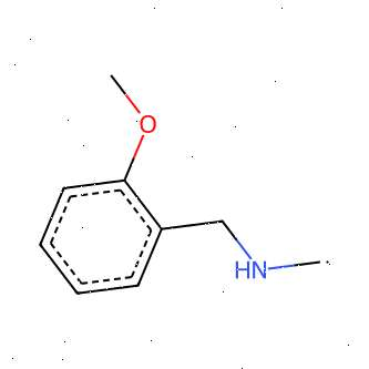 [CH2]NCc1ccccc1OC